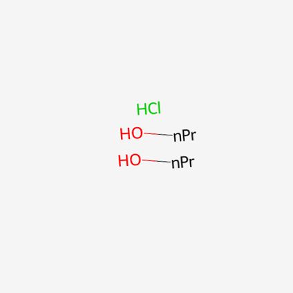 CCCO.CCCO.Cl